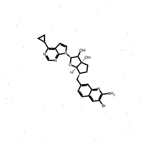 Nc1nc2cc(C[C@@H]3CC[C@]4(O)C(O)[C@H](n5ccc6c(C7CC7)ncnc65)O[C@H]34)ccc2cc1Br